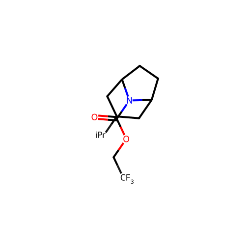 CC(C)C1CC2CCC(C1)N2C(=O)OCC(F)(F)F